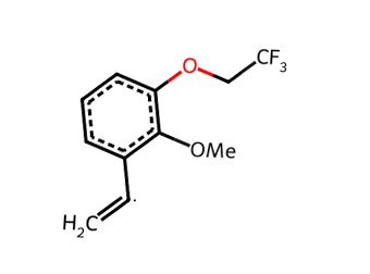 C=[C]c1cccc(OCC(F)(F)F)c1OC